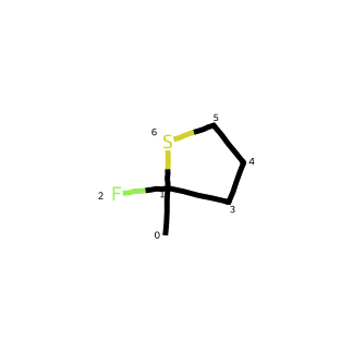 CC1(F)CCCS1